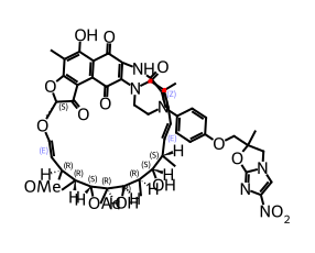 CO[C@H]1/C=C/O[C@@]2(C)Oc3c(C)c(O)c4c(c3C2=O)C(=O)C(N2CCN(c3ccc(OCC5(C)Cn6cc([N+](=O)[O-])nc6O5)cc3)CC2)=C(NC(=O)/C(C)=C\C=C\[C@H](C)[C@H](O)[C@@H](C)[C@@H](O)[C@@H](C)[C@H](OC(C)=O)[C@@H]1C)C4=O